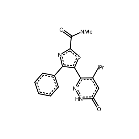 CNC(=O)c1nc(-c2ccccc2)c(-c2n[nH]c(=O)cc2C(C)C)s1